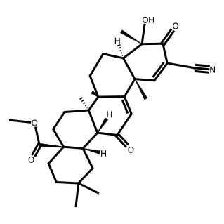 COC(=O)[C@]12CCC(C)(C)C[C@H]1[C@H]1C(=O)C=C3[C@@]4(C)C=C(C#N)C(=O)[C@@](C)(O)[C@@H]4CC[C@@]3(C)[C@]1(C)CC2